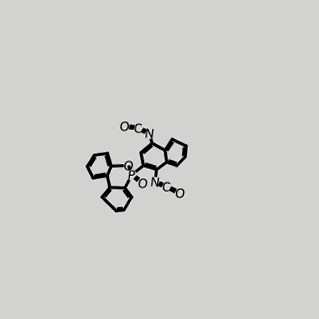 O=C=Nc1cc(P2(=O)Oc3ccccc3-c3ccccc32)c(N=C=O)c2ccccc12